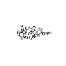 COC1=CC(=C=O)C(C(=O)NCCc2c(C)[nH]c3c(F)ccc(C)c23)C=C1